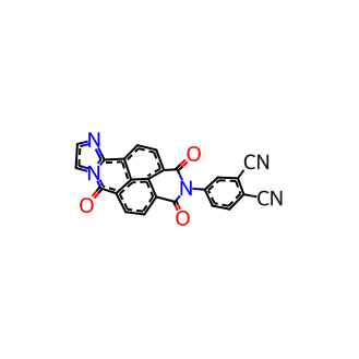 N#Cc1ccc(N2C(=O)c3ccc4c(=O)n5ccnc5c5ccc(c3c45)C2=O)cc1C#N